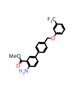 COC(=O)c1cc(-c2ccc(COc3cccc(C(F)(F)F)c3)cc2)ccc1N